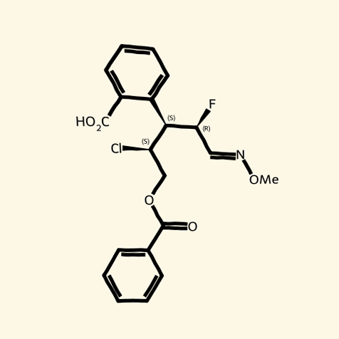 CON=C[C@H](F)[C@H](c1ccccc1C(=O)O)[C@H](Cl)COC(=O)c1ccccc1